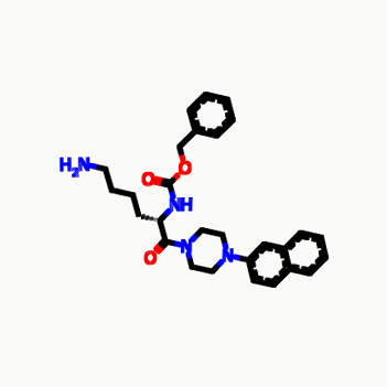 NCCCC[C@H](NC(=O)OCc1ccccc1)C(=O)N1CCN(c2ccc3ccccc3c2)CC1